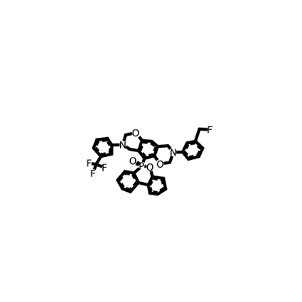 O=P1(c2c3c(cc4c2OCN(c2cccc(CF)c2)C4)OCN(c2cccc(C(F)(F)F)c2)C3)Oc2ccccc2-c2ccccc21